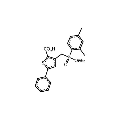 COP(=O)(Cc1cc(-c2ccccc2)sc1C(=O)O)c1ccc(C)cc1C